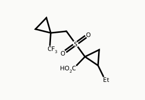 CCC1CC1(C(=O)O)S(=O)(=O)CC1(C(F)(F)F)CC1